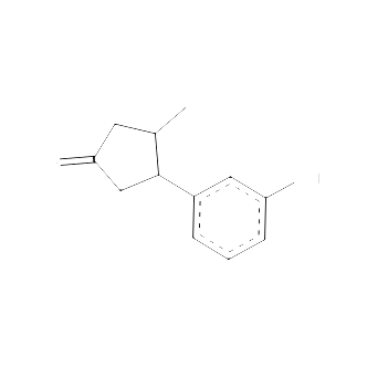 CC1CC(=O)CC1c1cccc(O)c1